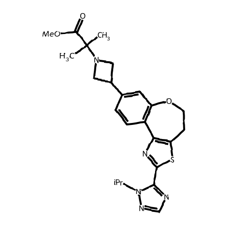 COC(=O)C(C)(C)N1CC(c2ccc3c(c2)OCCc2sc(-c4ncnn4C(C)C)nc2-3)C1